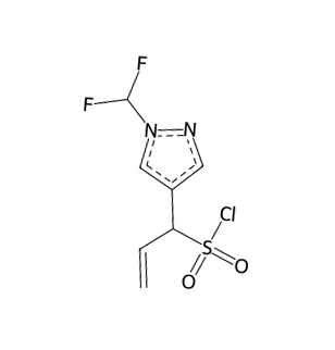 C=CC(c1cnn(C(F)F)c1)S(=O)(=O)Cl